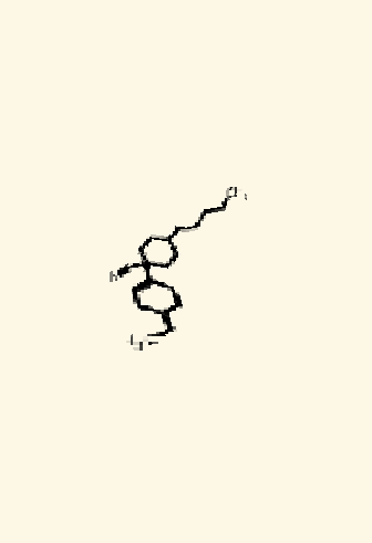 CCCCCC1CCC(C#N)(C2=CCC(CC)CC2)CC1